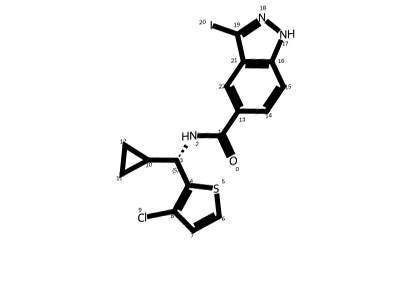 O=C(N[C@H](c1sccc1Cl)C1CC1)c1ccc2[nH]nc(I)c2c1